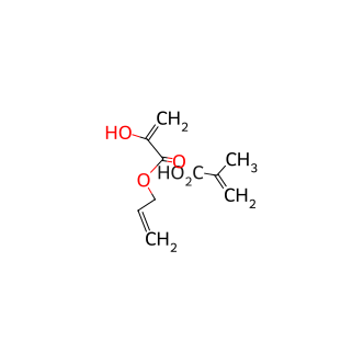 C=C(C)C(=O)O.C=CCOC(=O)C(=C)O